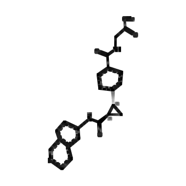 COC(=O)CNC(=O)c1ccc([C@@H]2C[C@H]2C(=O)Nc2ccc3cnccc3c2)cc1